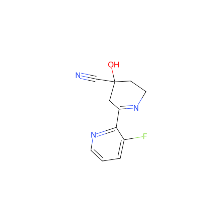 N#CC1(O)CCN=C(c2ncccc2F)C1